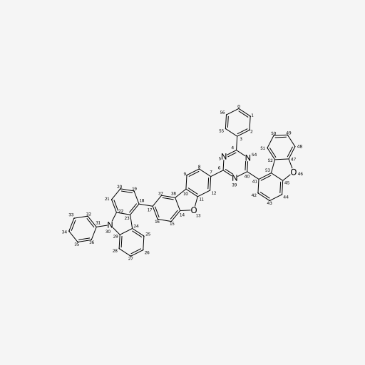 c1ccc(-c2nc(-c3ccc4c(c3)oc3ccc(-c5cccc6c5c5ccccc5n6-c5ccccc5)cc34)nc(-c3cccc4oc5ccccc5c34)n2)cc1